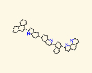 c1ccc2c(c1)cc(-c1ccc3cc(-c4ccc5nc(-c6ccc(-c7ccc8ccc9cccnc9c8n7)c7ccccc67)ccc5c4)ccc3n1)c1ccccc12